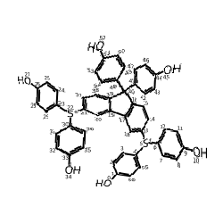 Oc1ccc([S+](c2ccc(O)cc2)c2ccc3c(c2)-c2cc([S+](c4ccc(O)cc4)c4ccc(O)cc4)ccc2C3(c2ccc(O)cc2)c2ccc(O)cc2)cc1